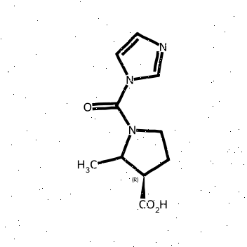 CC1[C@H](C(=O)O)CCN1C(=O)n1ccnc1